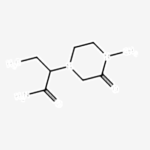 CCC(C(N)=O)N1CCN(C)C(=O)C1